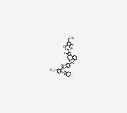 C=Cc1cc(F)c(NC(=O)c2sc3c(c2F)CCN(C(=O)c2ccc(NC(=O)c4cc(C)cnc4N4CC5(CCOCC5)C4)cc2)c2ccccc2-3)c(Cl)c1